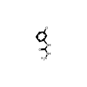 NNC(=O)Nc1cccc(Cl)c1